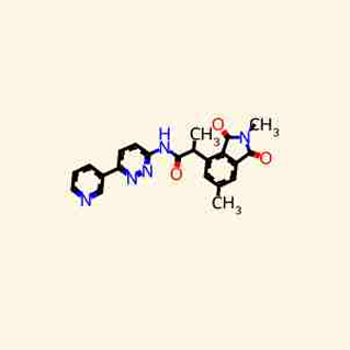 Cc1cc2c(c(C(C)C(=O)Nc3ccc(-c4cccnc4)nn3)c1)C(=O)N(C)C2=O